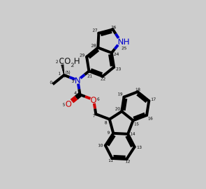 C[C@@H](C(=O)O)N(C(=O)OCC1c2ccccc2-c2ccccc21)c1ccc2[nH]ccc2c1